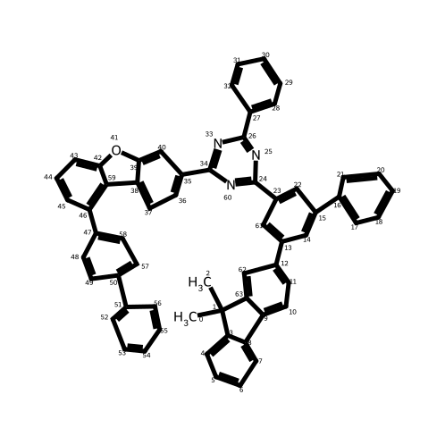 CC1(C)c2ccccc2-c2ccc(-c3cc(-c4ccccc4)cc(-c4nc(-c5ccccc5)nc(-c5ccc6c(c5)oc5cccc(-c7ccc(-c8ccccc8)cc7)c56)n4)c3)cc21